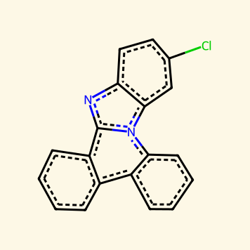 Clc1ccc2nc3c4ccccc4c4ccccc4n3c2c1